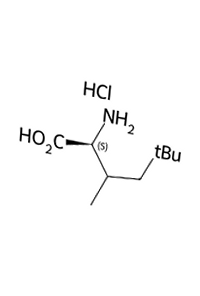 CC(CC(C)(C)C)[C@H](N)C(=O)O.Cl